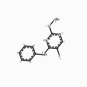 CCCCOc1ncc(F)c(Nc2ccccc2)n1